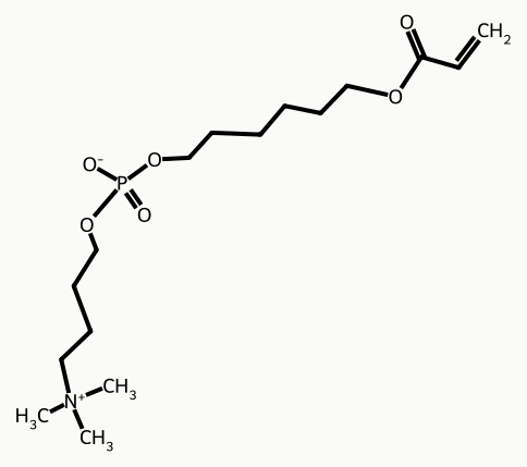 C=CC(=O)OCCCCCCOP(=O)([O-])OCCCC[N+](C)(C)C